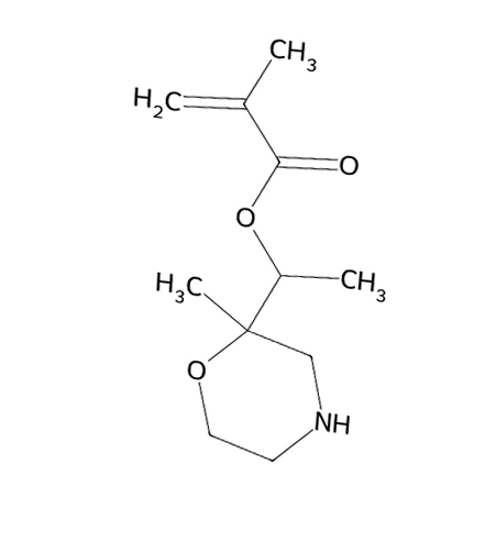 C=C(C)C(=O)OC(C)C1(C)CNCCO1